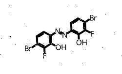 Oc1c(N=Nc2ccc(Br)c(F)c2O)ccc(Br)c1F